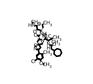 CCC[C@H](NC(=O)[C@@H]1C[C@]2(CC(c3cc(Cl)c(OC)cc3C)=NO2)CN1C(=O)[C@@H](NC(=O)CC1CCCCCC1)C(C)(C)C)C(=O)C(=O)NC